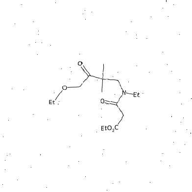 CCOCC(=O)C(C)(C)CN(CC)C(=O)CC(=O)OCC